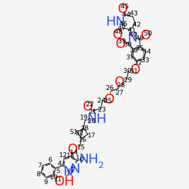 Nc1nnc(-c2ccccc2O)cc1OCC12CC(CNC(=O)CCOCCOCCOc3ccc4c(c3)C(=O)N(C3CCC(=O)NC3=O)C4=O)(C1)C2